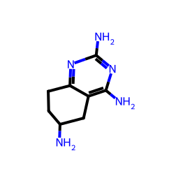 Nc1nc(N)c2c(n1)CCC(N)C2